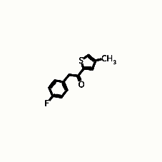 Cc1csc(C(=O)Cc2ccc(F)cc2)c1